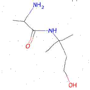 CC(N)C(=O)NC(C)(C)CCO